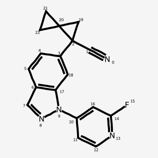 N#CC1(c2ccc3cnn(-c4ccnc(F)c4)c3c2)CC12CC2